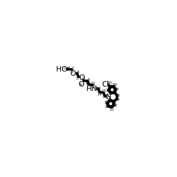 C#CCOCCOC(=O)/C=C/CNCCCCN1c2ccccc2CCc2ccc(Cl)cc21